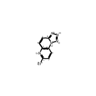 CCc1ccc2c(ccc3nnnn32)n1